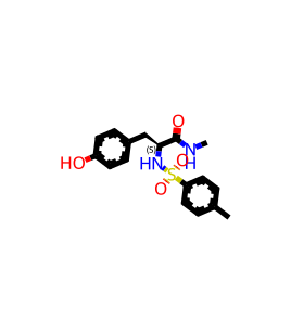 CNC(=O)[C@H](Cc1ccc(O)cc1)NS(=O)(=O)c1ccc(C)cc1